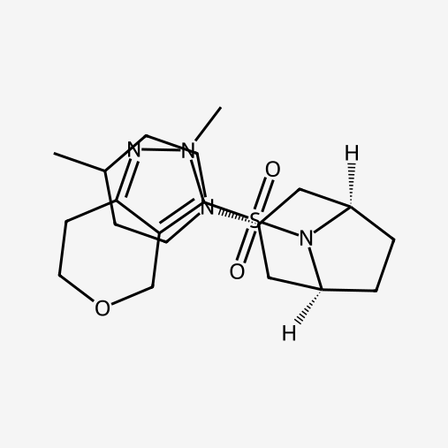 CC1CCN([C@@H]2C[C@H]3CC[C@@H](C2)N3S(=O)(=O)c2c3c(nn2C)CCOC3)CC1